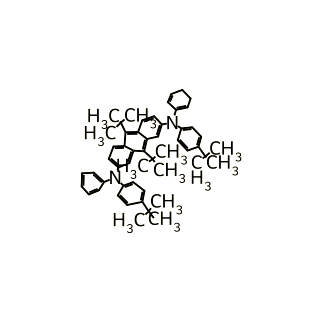 CC(C)(C)c1ccc(N(C2=CCCC=C2)c2ccc3c(C(C)(C)C)c4ccc(N(c5ccccc5)c5ccc(C(C)(C)C)cc5)cc4c(C(C)(C)C)c3c2)cc1